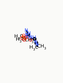 CC(C)N1CCN(c2cccc(C(=O)NCc3cnc(C#N)nc3NCC(C)(S(C)(=O)=O)S(C)(=O)=O)c2)CC1